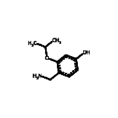 CC(C)Oc1cc(O)ccc1CN